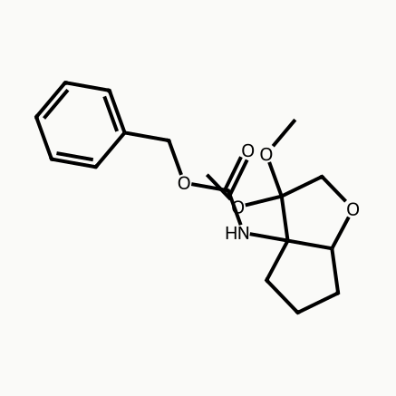 COC1(OC)COC2CCCC21NC(=O)OCc1ccccc1